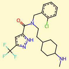 CNC1CCC(CCN(Cc2ccccc2Cl)C(=O)c2cc(C(F)(F)F)n[nH]2)CC1